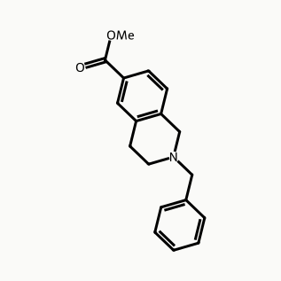 COC(=O)c1ccc2c(c1)CCN(Cc1ccccc1)C2